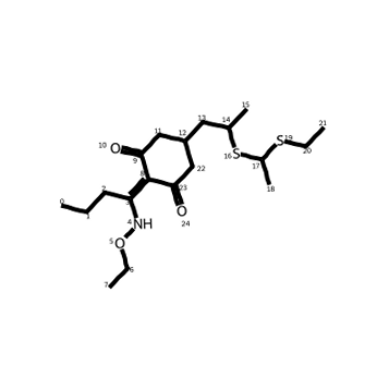 CCCC(NOCC)=C1C(=O)CC(CC(C)SC(C)SCC)CC1=O